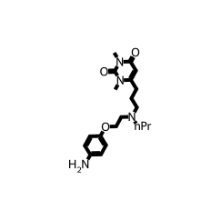 CCCN(CCCc1cc(=O)n(C)c(=O)n1C)CCOc1ccc(N)cc1